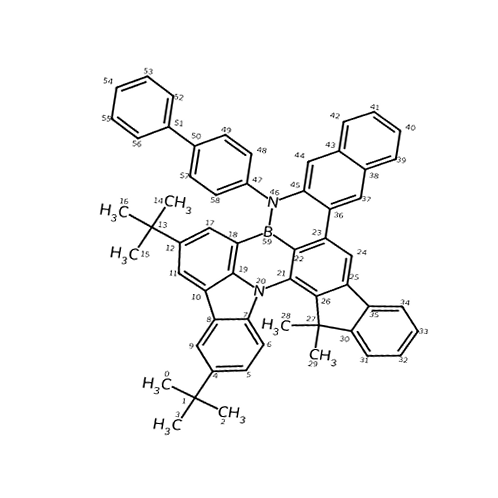 CC(C)(C)c1ccc2c(c1)c1cc(C(C)(C)C)cc3c1n2-c1c2c(cc4c1C(C)(C)c1ccccc1-4)-c1cc4ccccc4cc1N(c1ccc(-c4ccccc4)cc1)B23